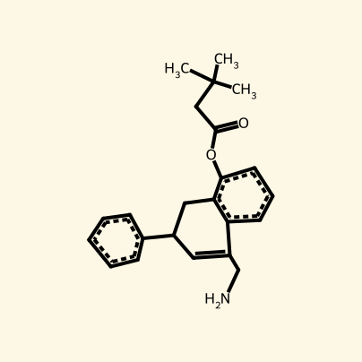 CC(C)(C)CC(=O)Oc1cccc2c1CC(c1ccccc1)C=C2CN